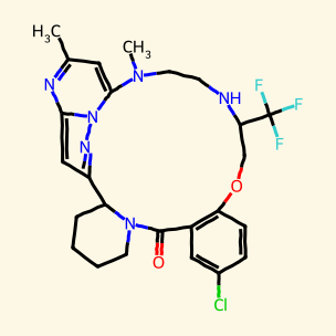 Cc1cc2n3nc(cc3n1)C1CCCCN1C(=O)c1cc(Cl)ccc1OCC(C(F)(F)F)NCCN2C